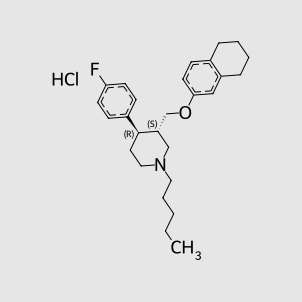 CCCCCN1CC[C@@H](c2ccc(F)cc2)[C@H](COc2ccc3c(c2)CCCC3)C1.Cl